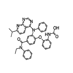 CCN(C(=O)c1ccc(Oc2ccccc2NC(=O)O)c(N(c2ccccc2)c2ncnc3nc(C(C)C)ccc23)c1)c1ccccc1